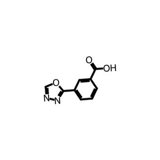 O=C(O)c1cccc(-c2nnco2)c1